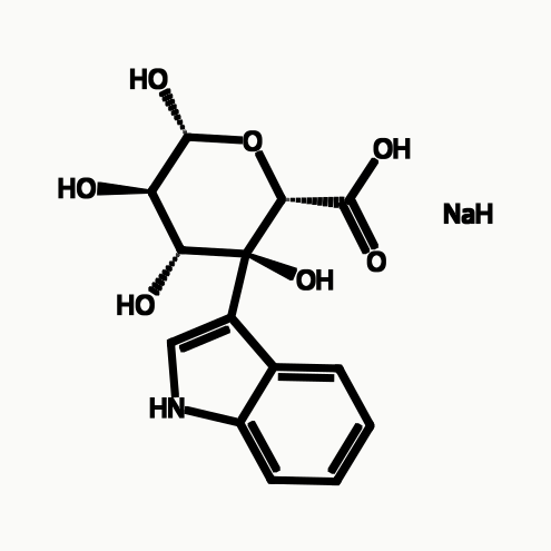 O=C(O)[C@H]1O[C@@H](O)[C@H](O)[C@@H](O)[C@@]1(O)c1c[nH]c2ccccc12.[NaH]